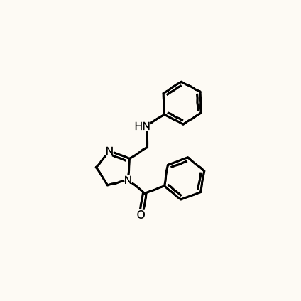 O=C(c1ccccc1)N1CCN=C1CNc1ccccc1